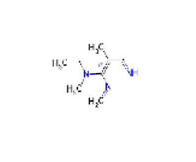 C=N/C(=C(/C)C=N)N(C)CC